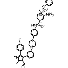 Cc1c(C=O)c(-c2cccc(N3CCN(c4ccc(N[S+]([O-])C5C=C(N)[C@@](C)(NSc6ccccc6)CC5)cc4)CC3)c2)c(-c2ccc(F)cc2)n1C